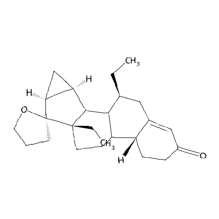 CC[C@H]1CC2=CC(=O)CC[C@@H]2C2CC[C@@]3(CC)C(C21)[C@@H]1C[C@@H]1[C@@]31CCCO1